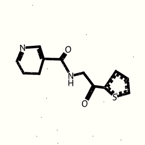 O=C(NCC(=O)c1cccs1)C1=CN=CCC1